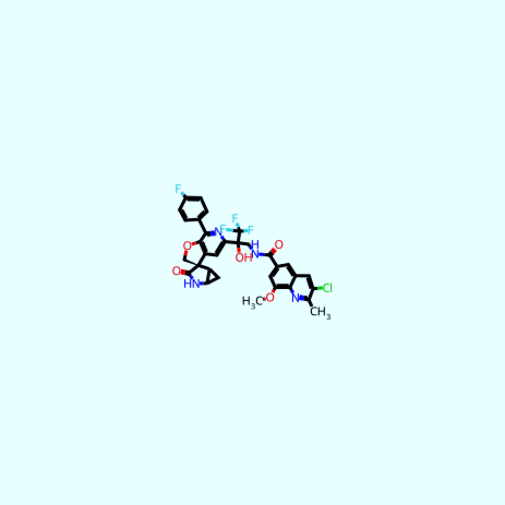 COc1cc(C(=O)NCC(O)(c2cc3c(c(-c4ccc(F)cc4)n2)OC[C@@]32C(=O)NC3CC32)C(F)(F)F)cc2cc(Cl)c(C)nc12